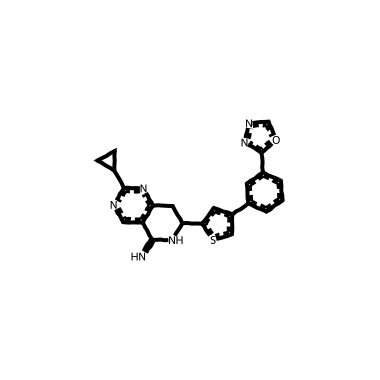 N=C1NC(c2cc(-c3cccc(-c4nnco4)c3)cs2)Cc2nc(C3CC3)ncc21